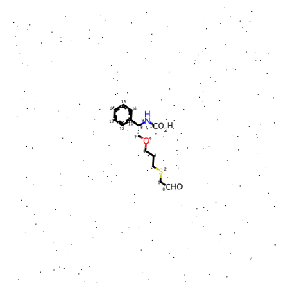 O=CCSCCCOC[C@@H](NC(=O)O)c1ccccc1